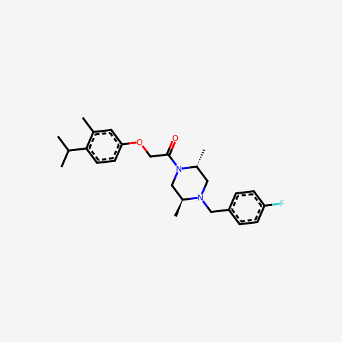 Cc1cc(OCC(=O)N2C[C@H](C)N(Cc3ccc(F)cc3)C[C@H]2C)ccc1C(C)C